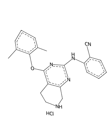 Cc1cccc(C)c1Oc1nc(Nc2ccccc2C#N)nc2c1CCNC2.Cl